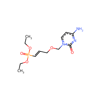 CCOP(=O)(C=CCOCn1ccc(N)nc1=O)OCC